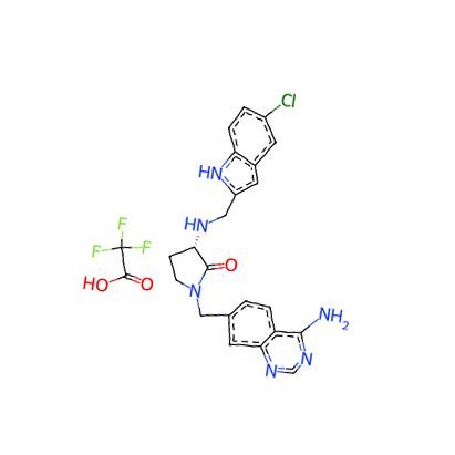 Nc1ncnc2cc(CN3CC[C@H](NCc4cc5cc(Cl)ccc5[nH]4)C3=O)ccc12.O=C(O)C(F)(F)F